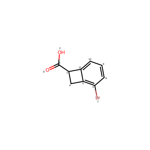 O=C(O)C1Cc2c(Br)cccc21